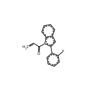 C=CC(=O)n1c(-c2ccccc2F)cc2ccccc21